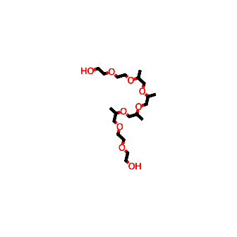 CC(COCCOCCO)OCC(C)OCC(C)OCC(C)OCCOCCO